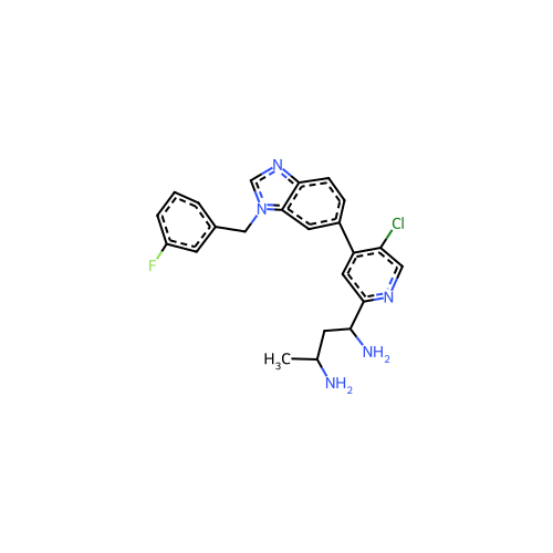 CC(N)CC(N)c1cc(-c2ccc3ncn(Cc4cccc(F)c4)c3c2)c(Cl)cn1